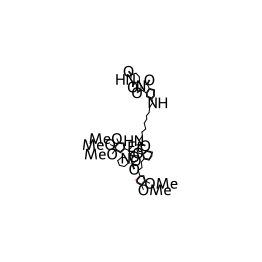 CCC(C(=O)N1CCCC[C@H]1C(=O)OC(CCc1ccc(OC)c(OC)c1)c1ccccc1OCC(=O)NCCCCCCCCNc1ccc2c(c1)C(=O)N(C1CCC(=O)NC1=O)C2=O)c1cc(OC)c(OC)c(OC)c1